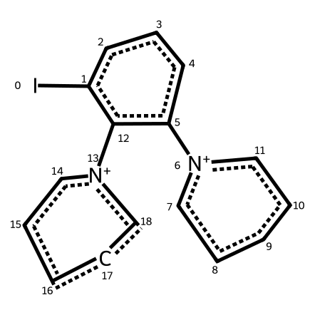 Ic1cccc(-[n+]2ccccc2)c1-[n+]1ccccc1